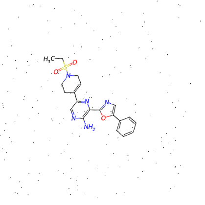 CCS(=O)(=O)N1CC=C(c2cnc(N)c(-c3ncc(-c4ccccc4)o3)n2)CC1